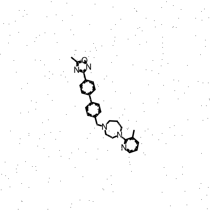 Cc1nc(-c2ccc(-c3ccc(CN4CCCN(c5ncccc5C)CC4)cc3)cc2)no1